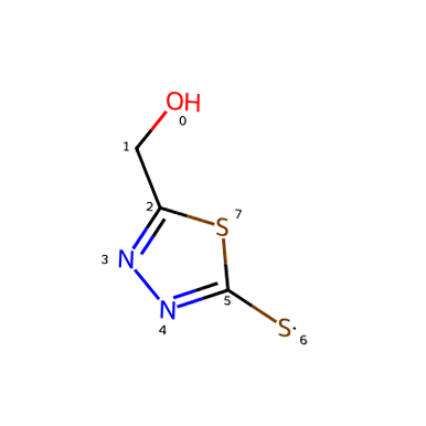 OCc1nnc([S])s1